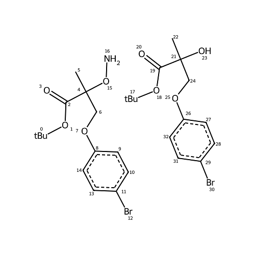 CC(C)(C)OC(=O)C(C)(COc1ccc(Br)cc1)ON.CC(C)(C)OC(=O)C(C)(O)COc1ccc(Br)cc1